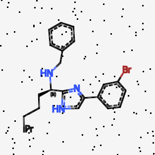 CC(C)CCC[C@@H](NCc1ccccc1)c1nc(-c2cccc(Br)c2)c[nH]1